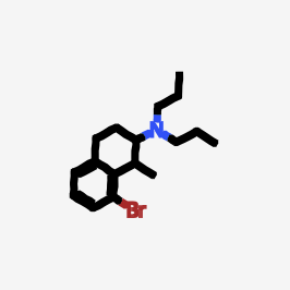 CCCN(CCC)C1CCc2cccc(Br)c2C1C